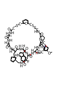 COc1ccc(C[C@@H]2NC(=O)[C@@H]3CCCC/C=C\CC[C@@]4(CCCN4C2=O)C(=O)NCCSCc2cccc(c2)CSCCC(=O)N[C@@H](C)C(=O)N[C@H](C)C(=O)N[C@H]2Cc4cccc(c4)CNC(=O)CC[C@@H](C(=O)N3)N3C(=O)[C@@H](NC2=O)C3c2c[nH]c3ccc(F)cc23)cc1